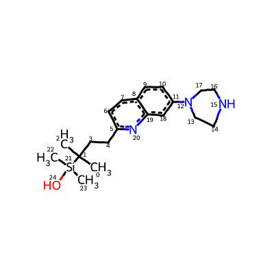 CC(C)(CCc1ccc2ccc(N3CCNCC3)cc2n1)[Si](C)(C)O